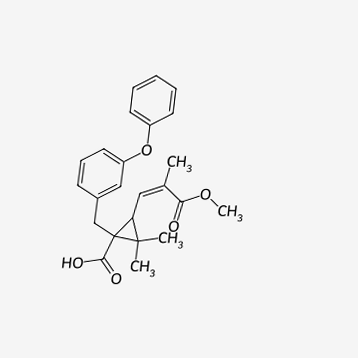 COC(=O)C(C)=CC1C(C)(C)C1(Cc1cccc(Oc2ccccc2)c1)C(=O)O